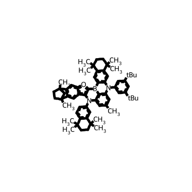 Cc1cc2c3c(c1)N(c1ccc4c(c1)C(C)(C)CCC4(C)C)c1c(oc4cc5c(cc14)C1(C)CCC5(C)C1)B3c1cc3c(cc1N2c1cc(C(C)(C)C)cc(C(C)(C)C)c1)C(C)(C)CCC3(C)C